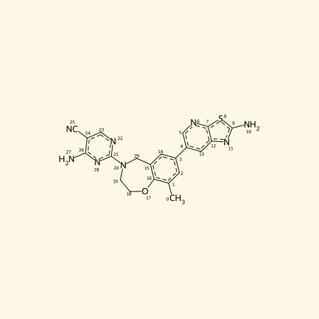 Cc1cc(-c2cnc3sc(N)nc3c2)cc2c1OCCN(c1ncc(C#N)c(N)n1)C2